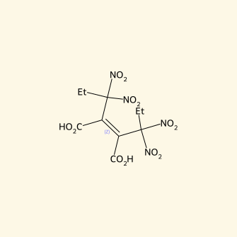 CCC(/C(C(=O)O)=C(/C(=O)O)C(CC)([N+](=O)[O-])[N+](=O)[O-])([N+](=O)[O-])[N+](=O)[O-]